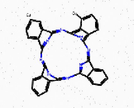 [Cu].[Cu][c]1cccc2c3nc4nc(nc5[nH]c(nc6nc(nc([nH]3)c12)-c1ccccc1-6)c1ccccc51)-c1ccccc1-4